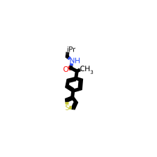 CC(C)CNC(=O)C(C)c1ccc(-c2ccsc2)cc1